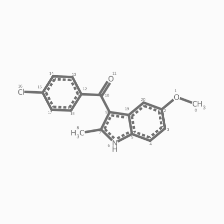 COc1ccc2[nH]c(C)c(C(=O)c3ccc(Cl)cc3)c2c1